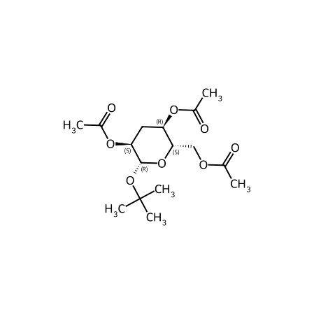 CC(=O)OC[C@@H]1O[C@H](OC(C)(C)C)[C@@H](OC(C)=O)C[C@H]1OC(C)=O